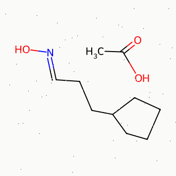 CC(=O)O.ON=CCCC1CCCC1